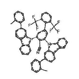 Cc1ccccc1-c1ccc2c3ccccc3n(-c3cc(-c4c(C(F)(F)F)cccc4C(F)(F)F)cc(-n4c5ccccc5c5ccc(-c6ccccc6C)cc54)c3C#N)c2c1